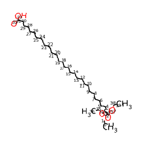 CCO[Si](CCCCCCCCCCCCCCCCCCCCCCCCCCCC(=O)O)(OCC)OCC